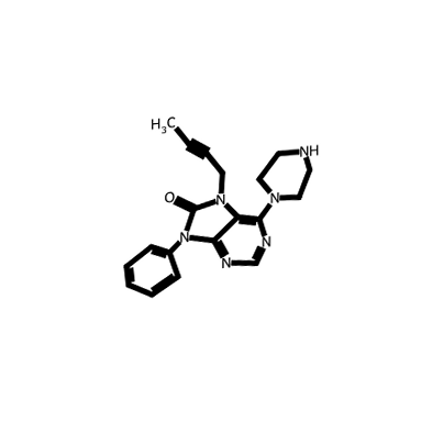 CC#CCn1c(=O)n(-c2ccccc2)c2ncnc(N3CCNCC3)c21